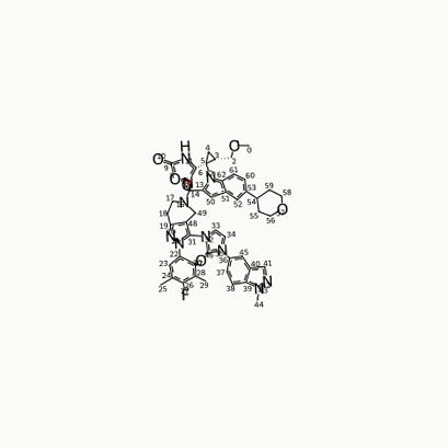 COC[C@H]1C[C@]1(c1noc(=O)[nH]1)n1c(C(=O)N2CCc3nn(-c4cc(C)c(F)c(C)c4)c(-n4ccn(-c5ccc6c(cnn6C)c5)c4=O)c3C2)cc2cc(C3CCOCC3)ccc21